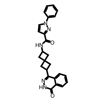 O=C(NC1CC2(C1)CC(c1n[nH]c(=O)c3ccccc13)C2)c1ccn(-c2ccccc2)n1